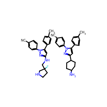 Cc1ccc(-c2cc(C3CCC(N)CC3)nn2-c2ccc(C#N)cc2)cc1.Cc1ccc(-c2cc(NCC3(F)CCNC3)nn2-c2ccc(C#N)cc2)cc1